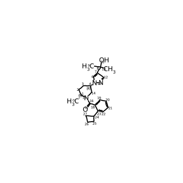 C[C@@H]1CC[C@@H](n2cc(C(C)(C)O)cn2)CN1C(=O)c1ccccc1C1CCC1